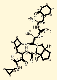 C=C(N[C@H](C(=O)N1C[C@@H]2CCC[C@@H]2[C@H]1C(=O)NC(CC1CCC1)C(=O)C(=O)NC1CC1)C(C)(C)C)N[C@H](CN1CCCCC1=O)C(C)(C)C